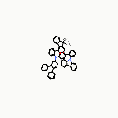 CC1(C)c2ccccc2-c2c(-c3ccccc3N(c3ccc(-c4ccccc4-n4c5ccccc5c5ccccc54)cc3)C3C=C(c4ccccc4)C(c4ccccc4)=CC3)cccc21